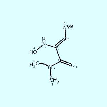 CN/C=C(\NO)C(=O)N(C)C